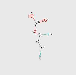 O=C(O)OC(F)CCF